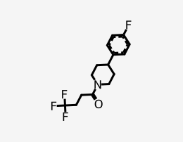 O=C(CCC(F)(F)F)N1CCC(c2ccc(F)cc2)CC1